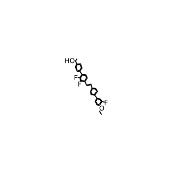 CCOc1ccc(-c2ccc(/C=C/c3ccc(-c4ccc(C(C)O)cc4)c(F)c3F)cc2)cc1F